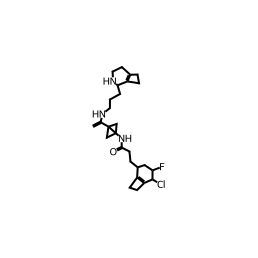 C=C(NCCCC1NCCC2=C1CC2)C12CC1(NC(=O)CCC1CC(F)C(Cl)C3=C1CC3)C2